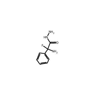 NNC(=O)C(N)(F)c1ccccc1